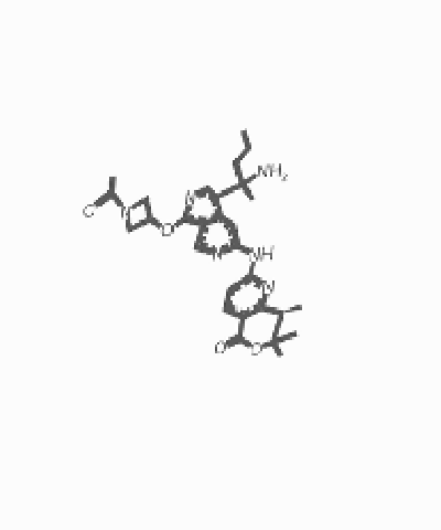 CCCC(C)(N)c1cnc(OC2CN(C(C)=O)C2)c2cnc(Nc3ccc4c(n3)[C@@H](C)C(C)(C)OC4=O)cc12